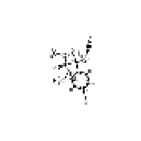 COP(=O)(OC)C(C)(SC#N)c1ccc(Br)cc1